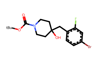 CC(C)(C)OC(=O)N1CCC(O)(Cc2ccc(Br)cc2F)CC1